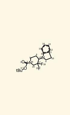 CC(C)(C)OC(=O)N1CCC(N2CCc3ccccc32)C(F)(F)C1